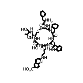 CC(O)C(CO)NC(=O)[C@@H]1CSSC[C@H](NC(=O)[C@H](N)Cc2ccccc2)C(=O)N[C@@H](Cc2ccccc2)C(=O)N[C@H](Cc2c[nH]c3ccccc23)C(=O)N[C@@H](CCCCNc2ccc3cc(C(=O)O)ccc3n2)C(=O)N[C@@H]([C@@H](C)O)C(=O)N1